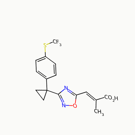 C/C(=C\c1nc(C2(c3ccc(SC(F)(F)F)cc3)CC2)no1)C(=O)O